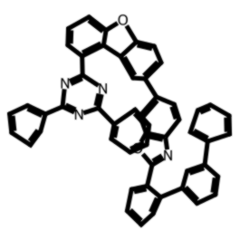 c1ccc(-c2cccc(-c3ccccc3-c3nc4ccc(-c5ccc6oc7cccc(-c8nc(-c9ccccc9)nc(-c9ccccc9)n8)c7c6c5)cc4o3)c2)cc1